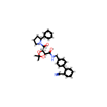 CC1(C)OC(C(=O)NCc2ccc(-c3ccccc3C#N)cc2)[C@H](C(=O)N2CCCC2c2ccccc2)O1